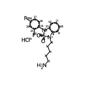 Cl.NCCCCCN1c2ccccc2N(c2ccc(F)cc2F)S1(=O)=O